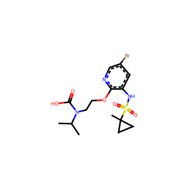 CC(C)N(CCOc1ncc(Br)cc1NS(=O)(=O)C1(C)CC1)C(=O)O